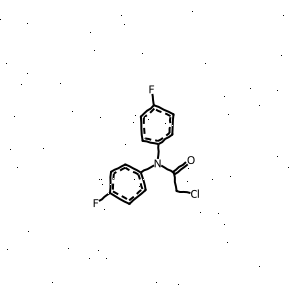 O=C(CCl)N(c1ccc(F)cc1)c1ccc(F)cc1